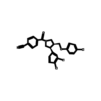 N#Cc1ccc(C(=O)N2C[C@@H](COc3ccc(Cl)cc3)[C@@H](c3ccc(Cl)c(Cl)c3)C2)cc1